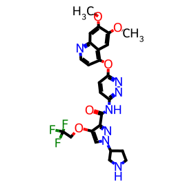 COc1cc2nccc(Oc3ccc(NC(=O)c4nn(C5CCNC5)cc4OCC(F)(F)F)nn3)c2cc1OC